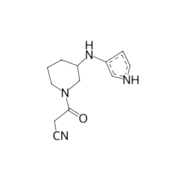 N#CCC(=O)N1CCCC(Nc2cc[nH]c2)C1